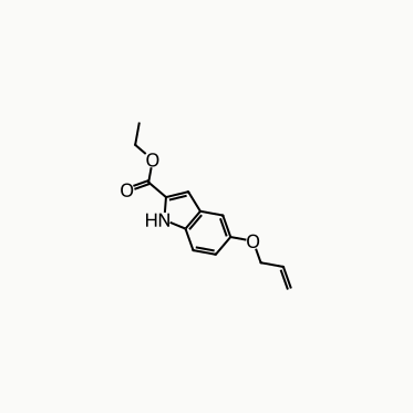 C=CCOc1ccc2[nH]c(C(=O)OCC)cc2c1